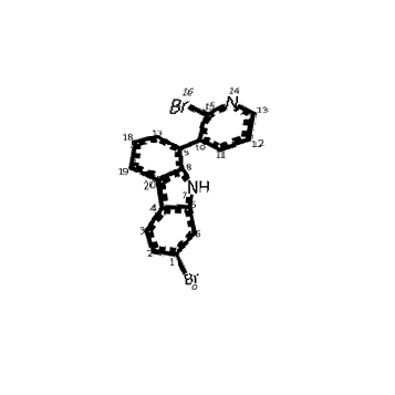 Brc1ccc2c(c1)[nH]c1c(-c3cccnc3Br)cccc12